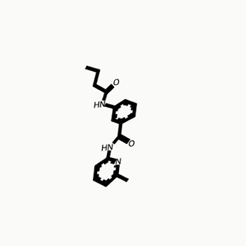 CCCC(=O)Nc1cccc(C(=O)Nc2cccc(C)n2)c1